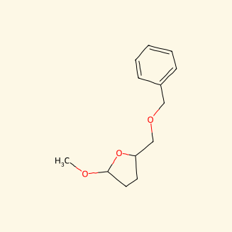 COC1CCC(COCc2ccccc2)O1